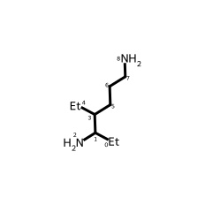 CCC(N)C(CC)CCCN